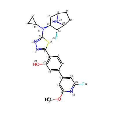 COc1cc(-c2ccc(-c3nnc(N(C4CC4)[C@H]4CC5CCC(N5)[C@H]4F)s3)c(O)c2)cc(F)n1